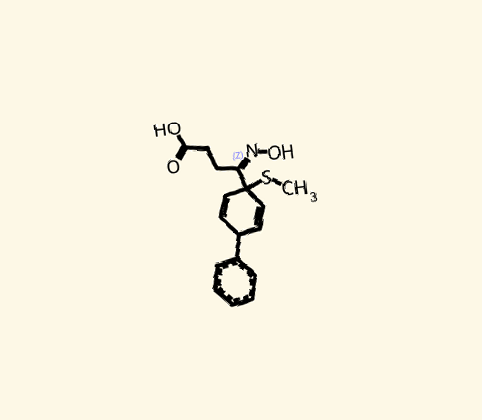 CSC1(/C(CCC(=O)O)=N\O)C=CC(c2ccccc2)C=C1